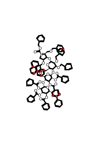 O=C(OC[C@H]1O[C@@H](O[C@H]2[C@H](OC(=O)c3ccccc3)[C@@H](OC(=O)c3ccccc3)[C@H](O[C@H]3[C@H](OCc4ccccc4)[C@@H](OCc4ccccc4)[C@@H](O[C@H]4[C@@H](OCc5ccccc5)CN(C(=O)OCc5ccccc5)[C@H]4COCc4ccccc4)O[C@@H]3COCc3ccccc3)O[C@@H]2COC(=O)c2ccccc2)[C@H](OC(=O)c2ccccc2)[C@@H](OC(=O)c2ccccc2)[C@@H]1OC(=O)c1ccccc1)c1ccccc1